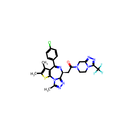 Cc1sc2c(c1C)C(c1ccc(Cl)cc1)=N[C@@H](CC(=O)N1CCn3c(nnc3C(F)(F)F)C1)c1nnc(C)n1-2